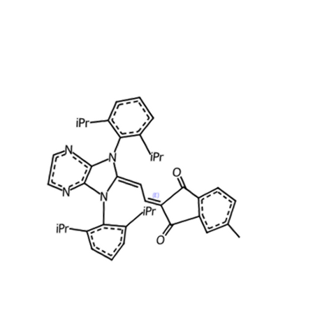 Cc1ccc2c(c1)C(=O)/C(=C/C=C1N(c3c(C(C)C)cccc3C(C)C)c3nccnc3N1c1c(C(C)C)cccc1C(C)C)C2=O